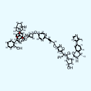 Cc1ncsc1-c1ccc([C@H](C)NC(=O)[C@@H]2C[C@@H](O)CN2C(=O)[C@H](c2cc(OCC#Cc3ncc(OC4CC(Oc5cc(N6C7CC[C@@H]6CN(c6cc(-c8ccccc8O)nnc6N)C7)ccn5)C4)cn3)no2)C(C)C)cc1